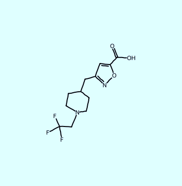 O=C(O)c1cc(CC2CCN(CC(F)(F)F)CC2)no1